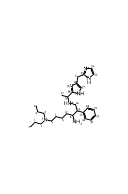 CCCN(CCC)CCCCC(N)C(CNC(C)c1nc(Cc2ncc[nH]2)c[nH]1)c1ccccc1